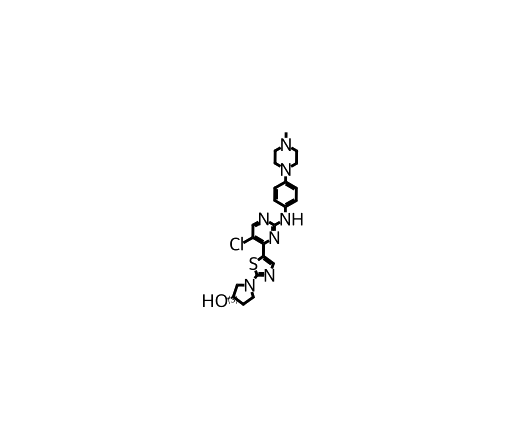 CN1CCN(c2ccc(Nc3ncc(Cl)c(-c4cnc(N5CC[C@H](O)C5)s4)n3)cc2)CC1